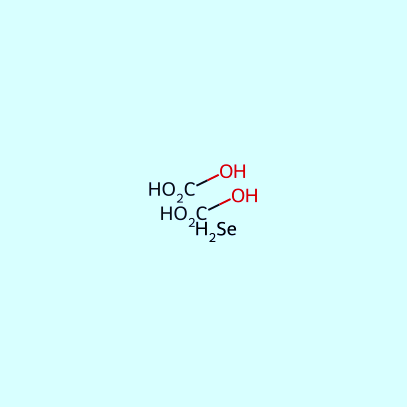 O=C(O)O.O=C(O)O.[SeH2]